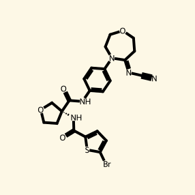 N#C/N=C1\CCOCCN1c1ccc(NC(=O)[C@@]2(NC(=O)c3ccc(Br)s3)CCOC2)cc1